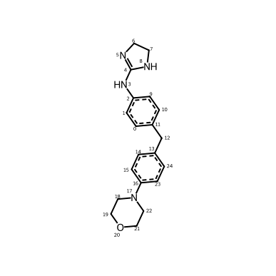 c1cc(NC2=NCCN2)ccc1Cc1ccc(N2CCOCC2)cc1